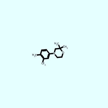 Cc1ccc(N2CCOC(C)(C)C2)cc1C(F)(F)F